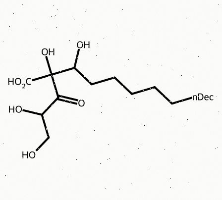 CCCCCCCCCCCCCCCC(O)C(O)(C(=O)O)C(=O)C(O)CO